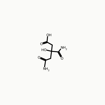 NC(=O)CC(O)(CC(=O)O)C(N)=O